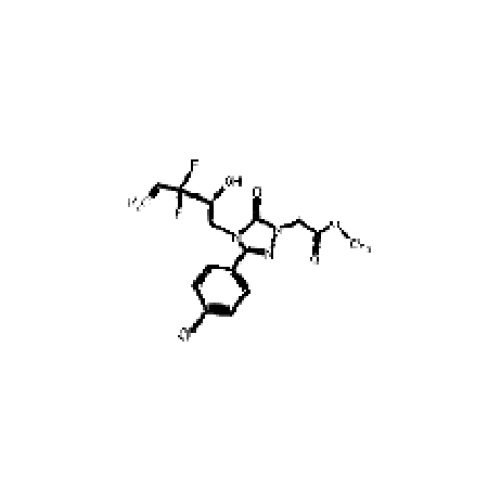 C=CC(F)(F)[C@@H](O)Cn1c(-c2ccc(Cl)cc2)nn(CC(=O)OC)c1=O